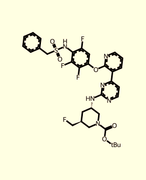 CC(C)(C)OC(=O)N1C[C@@H](CF)C[C@H](Nc2nccc(-c3cccnc3Oc3cc(F)c(NS(=O)(=O)Cc4ccccc4)c(F)c3F)n2)C1